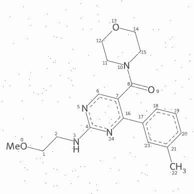 COCCNc1ncc(C(=O)N2CCOCC2)c(-c2cccc(C)c2)n1